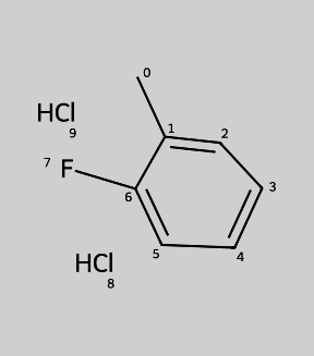 Cc1ccccc1F.Cl.Cl